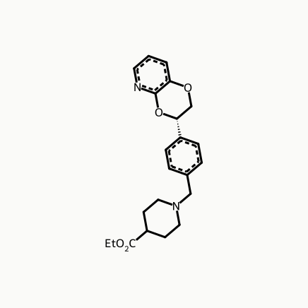 CCOC(=O)C1CCN(Cc2ccc([C@H]3COc4cccnc4O3)cc2)CC1